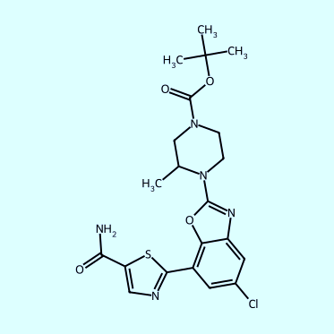 CC1CN(C(=O)OC(C)(C)C)CCN1c1nc2cc(Cl)cc(-c3ncc(C(N)=O)s3)c2o1